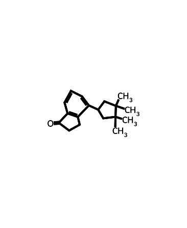 CC1(C)CC(c2cccc3c2CCC3=O)CC1(C)C